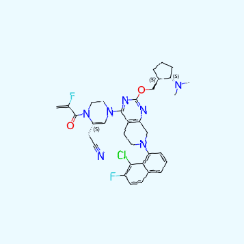 C=C(F)C(=O)N1CCN(c2nc(OC[C@H]3CCC[C@@H]3N(C)C)nc3c2CCN(c2cccc4ccc(F)c(Cl)c24)C3)C[C@@H]1CC#N